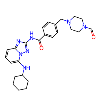 O=CN1CCN(Cc2ccc(C(=O)Nc3nc4cccc(NC5CCCCC5)n4n3)cc2)CC1